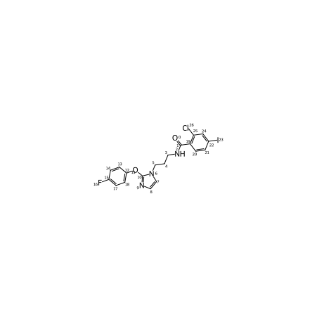 O=C(NCCCn1ccnc1Oc1ccc(F)cc1)c1ccc(I)cc1Cl